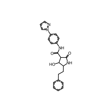 O=C(Nc1ccc(-n2cccn2)cc1)C1C(=O)NC(CCc2ccccc2)C1O